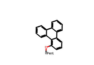 CCCCCOc1cccc2c3ccccc3c3ccccc3c12